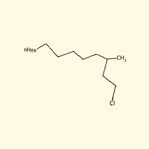 CCCCCCCCCCCC(C)CCCl